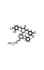 O=C(O)CCCC(=O)N[C@H](Cc1ccccc1)C(=O)N1C/C(=C\c2ccc(Cl)c(Cl)c2)C(=O)/C(=C/c2ccc(Cl)c(Cl)c2)C1